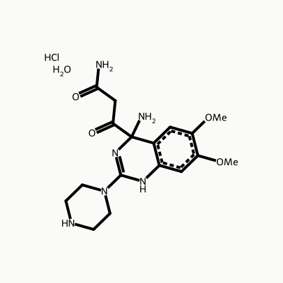 COc1cc2c(cc1OC)C(N)(C(=O)CC(N)=O)N=C(N1CCNCC1)N2.Cl.O